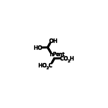 CCCCCC(O)O.O=C(O)CC(=O)O